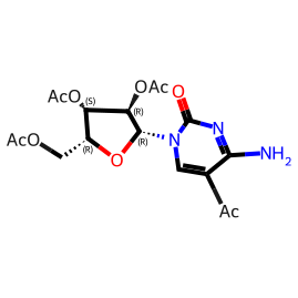 CC(=O)OC[C@H]1O[C@@H](n2cc(C(C)=O)c(N)nc2=O)[C@H](OC(C)=O)[C@H]1OC(C)=O